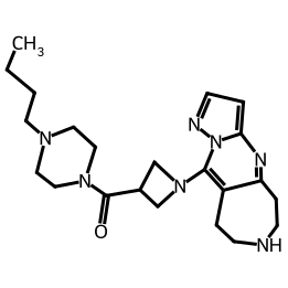 CCCCN1CCN(C(=O)C2CN(c3c4c(nc5ccnn35)CCNCC4)C2)CC1